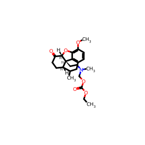 CCOC(=O)OCN(C)CC[C@]12c3c4ccc(OC)c3O[C@H]1C(=O)CC[C@H]2C(C)C4